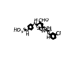 O=CC(CC(=O)NNC(=S)Nc1cccc(Cl)c1)C(S)Nc1ccc(NS(=O)(=O)O)cc1